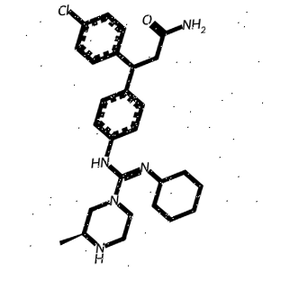 C[C@H]1CN(/C(=N\C2CCCCC2)Nc2ccc(C(CC(N)=O)c3ccc(Cl)cc3)cc2)CCN1